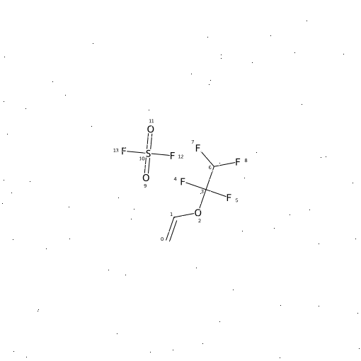 C=COC(F)(F)C(F)F.O=S(=O)(F)F